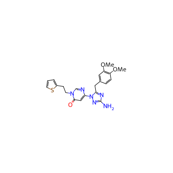 COc1ccc(Cc2nc(N)nn2-c2cc(=O)n(CCc3cccs3)cn2)cc1OC